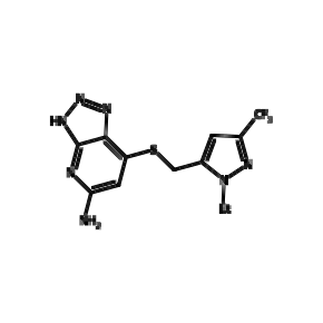 CCn1nc(C(F)(F)F)cc1CSc1cc(N)nc2[nH]nnc12